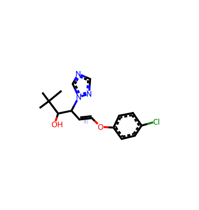 CC(C)(C)C(O)C(/C=C/Oc1ccc(Cl)cc1)n1cncn1